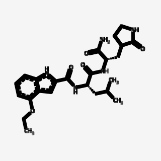 CCOc1cccc2[nH]c(C(=O)N[C@@H](CC(C)C)C(=O)N[C@@H](CC3CCNC3=O)C(N)=O)cc12